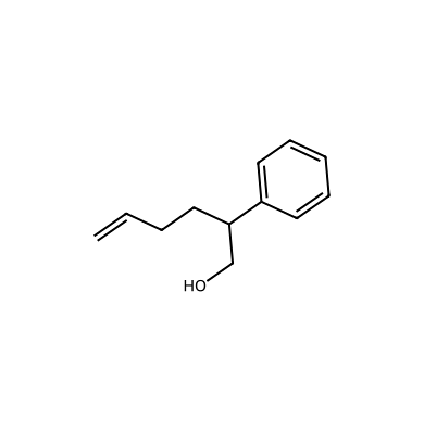 C=CCCC(CO)c1ccccc1